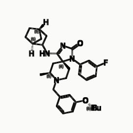 CC[C@@H](C)Oc1cccc(CN2CC[C@@]3(C[C@@H]2C)C(NC2C[C@H]4CC[C@H]2C4)=NC(=O)N3c2cccc(F)c2)c1